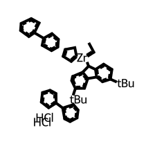 C/[CH]=[Zr](\[C]1=CC=CC1)[CH]1c2ccc(C(C)(C)C)cc2-c2cc(C(C)(C)C)ccc21.Cl.Cl.c1ccc(-c2ccccc2)cc1.c1ccc(-c2ccccc2)cc1